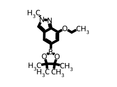 CCOc1cc(B2OC(C)(C)C(C)(C)O2)cc2cn(C)nc12